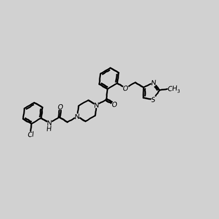 Cc1nc(COc2ccccc2C(=O)N2CCN(CC(=O)Nc3ccccc3Cl)CC2)cs1